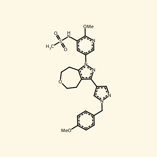 COc1ccc(Cn2cc(-c3nn(-c4cnc(OC)c(NS(C)(=O)=O)c4)c4c3CCOCC4)cn2)cc1